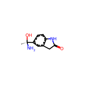 C[C@](N)(O)c1ccc2c(c1)CC(=O)N2